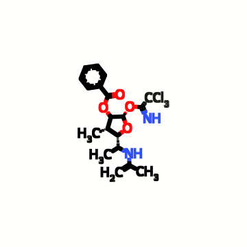 C=C(C)NC(C)[C@H]1O[C@@H](OC(=N)C(Cl)(Cl)Cl)C(OC(=O)c2ccccc2)[C@H]1C